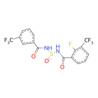 O=C(N[S+]([O-])NC(=O)c1cccc(C(F)(F)F)c1F)c1cccc(C(F)(F)F)c1